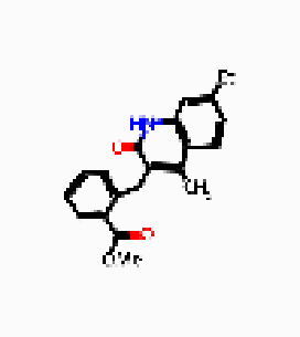 CCc1ccc2c(C)c(Cc3ccccc3C(=O)OC)c(=O)[nH]c2c1